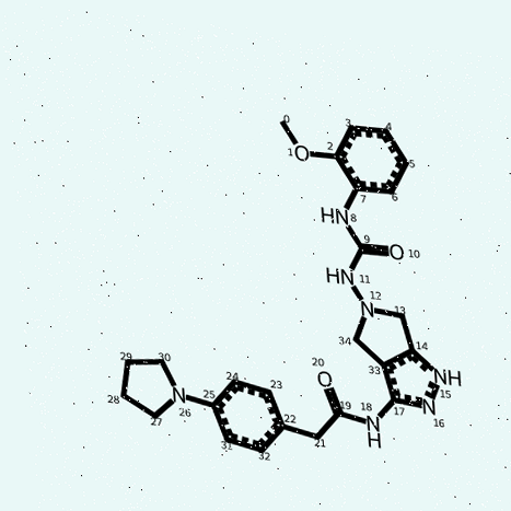 COc1ccccc1NC(=O)NN1Cc2[nH]nc(NC(=O)Cc3ccc(N4CCCC4)cc3)c2C1